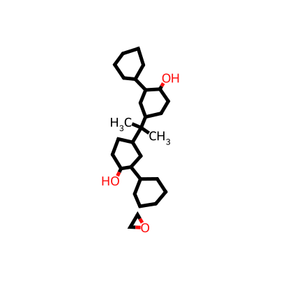 C1CO1.CC(C)(C1CCC(O)C(C2CCCCC2)C1)C1CCC(O)C(C2CCCCC2)C1